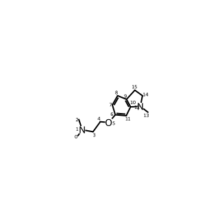 CN(C)CCOc1ccc2c(c1)N(C)CC2